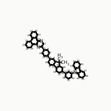 CC1(C)c2cc(-c3ccc(-c4cnc5c6ccccc6c6ccccc6c5n4)cc3)ccc2-c2ccc(-c3cccc(-n4c5ccccc5c5ccccc54)c3)cc21